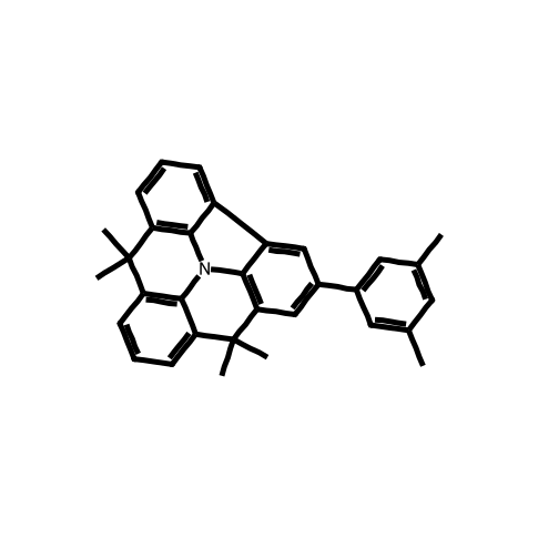 Cc1cc(C)cc(-c2cc3c4c(c2)c2cccc5c2n4-c2c(cccc2C3(C)C)C5(C)C)c1